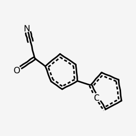 N#CC(=O)c1ccc(-c2ccccc2)cc1